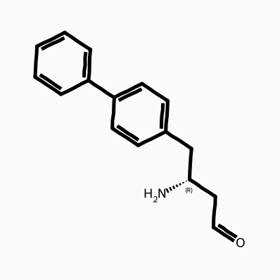 N[C@@H](CC=O)Cc1ccc(-c2ccccc2)cc1